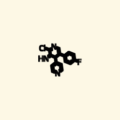 N=C1C(Cl)=NC=C(c2ccc(F)cc2)C1c1ccncc1